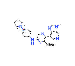 CNc1nc(Nc2ccc(N3C4CCC3CN(C)C4)cc2)cnc1-c1cncc2c1ncn2C